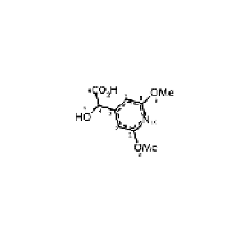 COc1cc(C(O)C(=O)O)cc(OC)n1